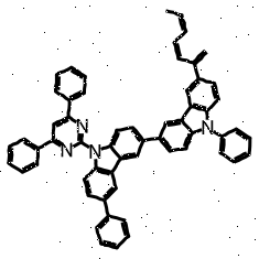 C=C(/C=C\C=C/C)c1ccc2c(c1)c1cc(-c3ccc4c(c3)c3cc(-c5ccccc5)ccc3n4-c3nc(-c4ccccc4)cc(-c4ccccc4)n3)ccc1n2-c1ccccc1